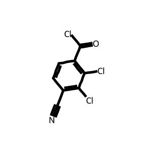 N#Cc1ccc(C(=O)Cl)c(Cl)c1Cl